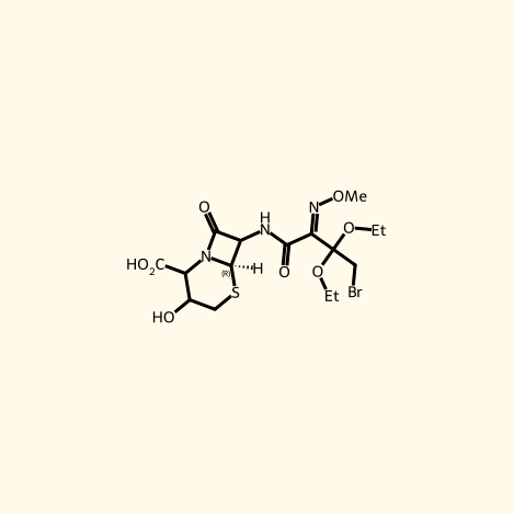 CCOC(CBr)(OCC)C(=NOC)C(=O)NC1C(=O)N2C(C(=O)O)C(O)CS[C@H]12